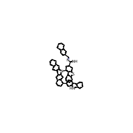 N=C(/N=C/c1ccc2ccccc2c1)c1cc(-n2c3cc4ccccc4cc3c3cc4cccc(-c5ccc6c(c5)[nH]c5ccccc56)c4cc32)c2c(c1)sc1ccccc12